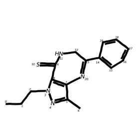 CCCn1nc(C)c2c1C(=S)NCC(c1ccccc1)=N2